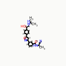 CC(C)NCC(O)c1ccc(-c2cc(-c3cccc(C(=O)NC(C)C#N)c3)no2)cc1